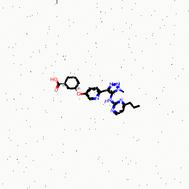 CCCc1ccnc(Nc2c(-c3ccc(O[C@H]4CCC[C@H](C(=O)O)C4)cn3)nnn2C)n1